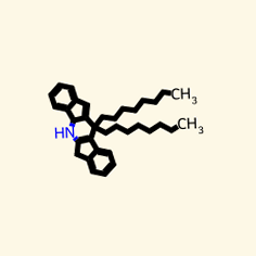 CCCCCCCCC1(CCCCCCCC)C2=Cc3ccccc3C2NC2=C1c1ccccc1C2